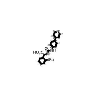 CC(C)(C)c1ccccc1[C@@H](NC(=O)Nc1ccc(-c2ccncc2)cc1)C(=O)O